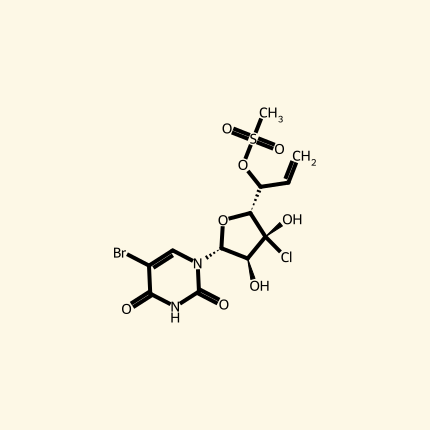 C=CC(OS(C)(=O)=O)[C@H]1O[C@@H](n2cc(Br)c(=O)[nH]c2=O)[C@H](O)[C@@]1(O)Cl